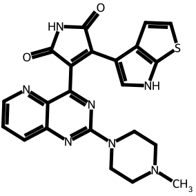 CN1CCN(c2nc(C3=C(c4c[nH]c5sccc45)C(=O)NC3=O)c3ncccc3n2)CC1